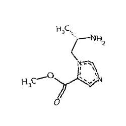 COC(=O)c1cncn1C[C@H](C)N